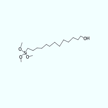 CO[Si](CCCCCCCCCCCCCO)(OC)OC